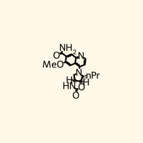 CCC[C@@H]1[C@@H]2OC(=O)N[C@@H]2CN1c1ccnc2cc(C(N)=O)c(OC)cc12